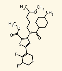 COC(=O)c1sc(C2=C(F)C(F)CCC2)cc1N(CCCC(C)OC)C(=O)C1CCC(C)CC1